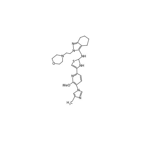 COc1nc(C2=CSC(Nc3c4c(nn3CCN3CCOCC3)CCCC4)N2)ccc1-n1cnc(C)c1